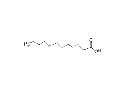 CCCCSCCCCCCC(=O)O